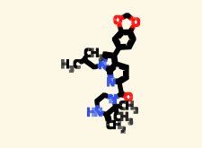 C=C1NCCN(C(=O)c2ccc3c(-c4ccc5c(c4)OCO5)cn(CC(C)C)c3n2)C1(C)C